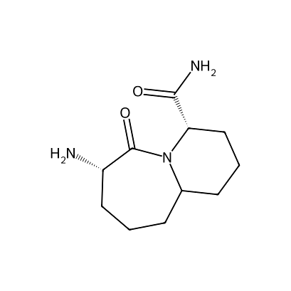 NC(=O)[C@@H]1CCCC2CCC[C@H](N)C(=O)N21